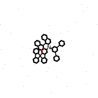 c1ccc(-c2cc(-c3ccccc3)cc(N(c3ccc4c(c3)-c3ccccc3C43c4ccccc4-c4ccccc43)c3ccc4ccccc4c3-c3cccc4ccccc34)c2)cc1